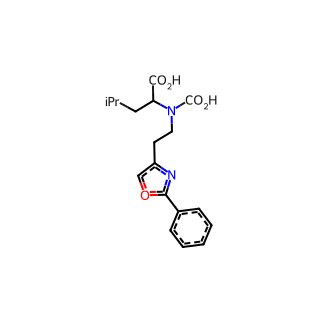 CC(C)CC(C(=O)O)N(CCc1coc(-c2ccccc2)n1)C(=O)O